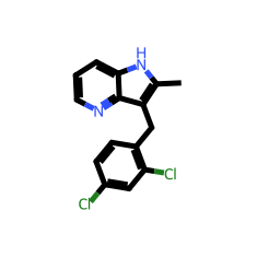 Cc1[nH]c2cccnc2c1Cc1ccc(Cl)cc1Cl